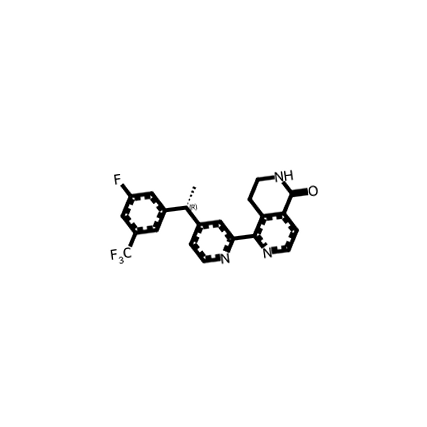 C[C@@H](c1cc(F)cc(C(F)(F)F)c1)c1ccnc(-c2nccc3c2CCNC3=O)c1